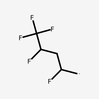 [CH2]C(F)CC(F)C(F)(F)F